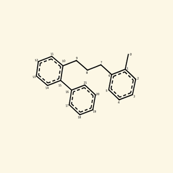 Cc1ccccc1CCCc1ccccc1-c1ccccc1